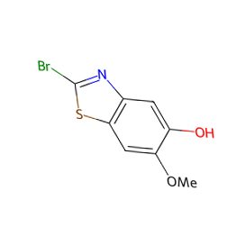 COc1cc2sc(Br)nc2cc1O